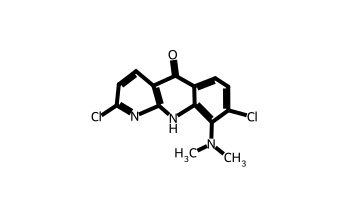 CN(C)c1c(Cl)ccc2c(=O)c3ccc(Cl)nc3[nH]c12